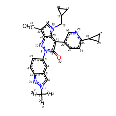 [2H]C([2H])([2H])n1cc2cc(-n3nc4c(C=O)cn(CC5CC5)c4c(-c4ccc(C5CC5)nc4)c3=O)ccc2n1